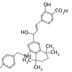 CC1(C)CCC(C)(C)c2c(NCc3ccc(F)cc3)cc(C(O)/C=C/c3ccc(C(=O)O)c(O)c3)cc21